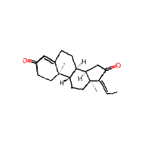 CC=C1C(=O)C[C@@H]2[C@@H]3CCC4=CC(=O)CC[C@]4(C)[C@H]3CC[C@]12C